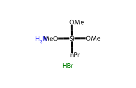 Br.CCC[Si](OC)(OC)OC.N